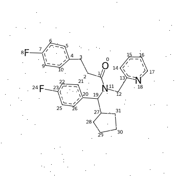 O=C(CCc1ccc(F)cc1)N(Cc1ccccn1)C(c1ccc(F)cc1)C1CCCC1